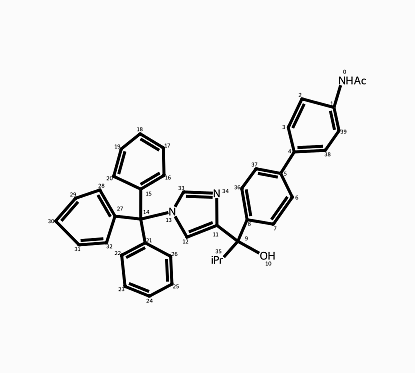 CC(=O)Nc1ccc(-c2ccc(C(O)(c3cn(C(c4ccccc4)(c4ccccc4)c4ccccc4)cn3)C(C)C)cc2)cc1